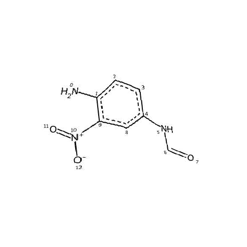 Nc1ccc(NC=O)cc1[N+](=O)[O-]